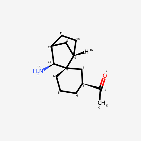 CC(=O)[C@H]1CCC[C@]2(C1)[C@H]1CCC(C1)[C@@H]2N